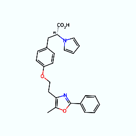 Cc1oc(-c2ccccc2)nc1CCOc1ccc(C[C@H](C(=O)O)n2cccc2)cc1